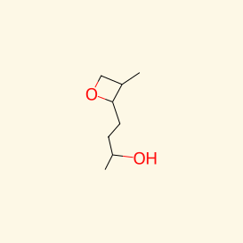 CC(O)CCC1OCC1C